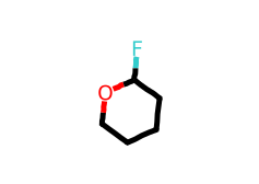 FC1CCCCO1